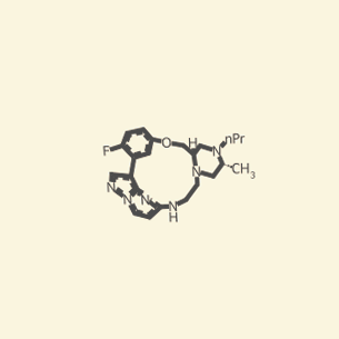 CCCN1C[C@H]2COc3ccc(F)c(c3)-c3cnn4ccc(nc34)NCCN2C[C@H]1C